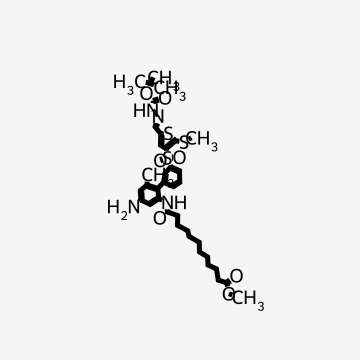 COC(=O)CCCCCCCCCCC(=O)Nc1cc(N)cc(C)c1-c1cccc(S(=O)(=O)c2cc(C=NNC(=O)OC(C)(C)C)sc2SC)c1